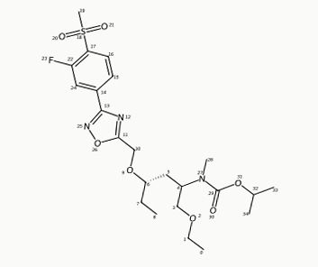 CCOCC(C[C@H](CC)OCc1nc(-c2ccc(S(C)(=O)=O)c(F)c2)no1)N(C)C(=O)OC(C)C